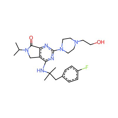 CC(C)N1Cc2c(NC(C)(C)Cc3ccc(F)cc3)nc(N3CCN(CCO)CC3)nc2C1=O